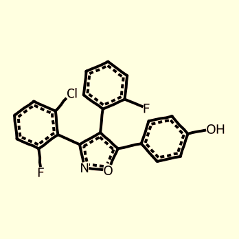 Oc1ccc(-c2onc(-c3c(F)cccc3Cl)c2-c2ccccc2F)cc1